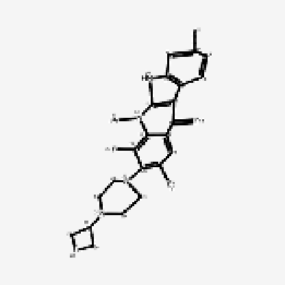 CCc1cc2c(=O)c3c4ccc(C)cc4[nH]c3n(C(C)C)c2c(F)c1N1CCN(C2COC2)CC1